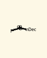 CCCCCCCCCCCCCCCCOS(=O)(=O)CCCCCCCCF